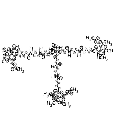 CC(=O)NC1C(OC(C)=O)[C@H](OC(C)=O)C(COC(C)=O)O[C@@H]1OCCCCC(=O)NCCCNC(=O)CCOCC(COCCC(=O)NCCCNC(=O)CCCCO[C@H]1OC(COC(C)=O)[C@@H](OC(C)=O)C(OC(C)=O)C1NC(C)=O)(COCCC(=O)NCCCNC(=O)CCCCO[C@@H]1OC(COC(C)=O)[C@H](OC(C)=O)C(OC(C)=O)C1NC(C)=O)NC(C)=O